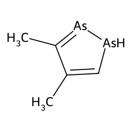 CC1=C[AsH][As]=C1C